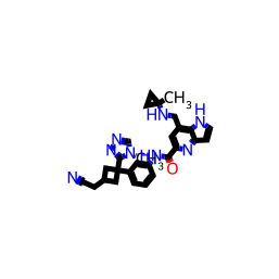 Cn1cnnc1C1(c2cccc(NC(=O)c3cc(CNC4(C)CC4)c4[nH]ccc4n3)c2)CC(CC#N)C1